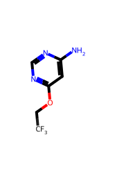 Nc1cc(OCC(F)(F)F)ncn1